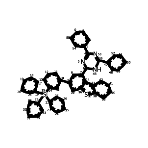 c1ccc(C2=NC(c3cc(-c4cccc([Si](c5ccccc5)(c5ccccc5)c5ccccc5)c4)cc4sc5ccccc5c34)NC(c3ccccc3)=N2)cc1